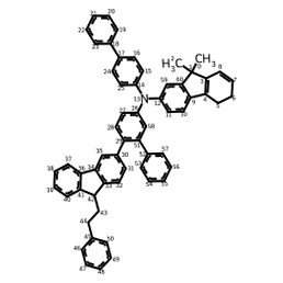 CC1(C)C2=C(CCC=C2)c2ccc(N(c3ccc(-c4ccccc4)cc3)c3ccc(-c4ccc5c(c4)-c4ccccc4C5CCc4ccccc4)c(-c4ccccc4)c3)cc21